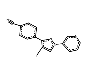 N#Cc1ccc(-c2nn(-c3cccnc3)cc2I)cc1